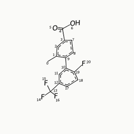 Cc1cc(C(=O)O)ccc1-c1cc(C(F)(F)F)ccc1F